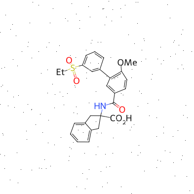 CCS(=O)(=O)c1cccc(-c2cc(C(=O)NC3(C(=O)O)Cc4ccccc4C3)ccc2OC)c1